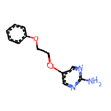 Nc1ncc(OCCOc2ccccc2)cn1